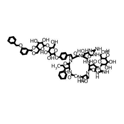 CCC(c1ccccc1)C1NC(=O)CNC(=O)C(CO)NC(=O)C(C(O)C2CNC(=N)N2C2OC(CO)C(O)C(O)C2O)NC(=O)C(C(O)C2CNC(=N)N2)NC(=O)C(Cc2ccc(OC3OC(CO)C(OC4OC5COC(c6cccc(OCc7ccccc7)c6)OC5C(O)C4O)C(O)C3O)cc2)NC1=O